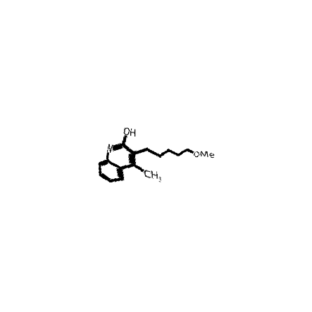 COCCCCCc1c(O)nc2ccccc2c1C